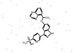 CC(Oc1ccc2[nH]nc(-c3ccc(S(C)(=N)=O)nc3)c2c1)c1cccc2nccnc12